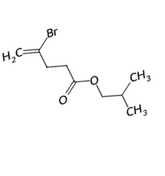 C=C(Br)CCC(=O)OCC(C)C